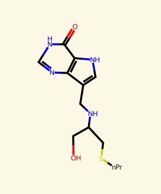 CCCSCC(CO)NCc1c[nH]c2c(=O)[nH]cnc12